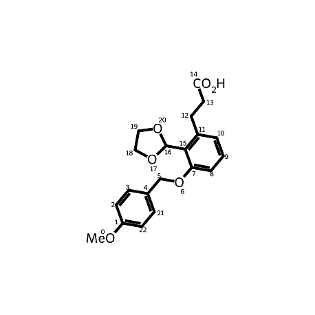 COc1ccc(COc2cccc(CCC(=O)O)c2C2OCCO2)cc1